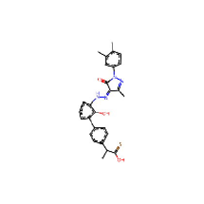 CC1=NN(c2ccc(C)c(C)c2)C(=O)C1=NNc1cccc(-c2ccc(C(C)C(O)=S)cc2)c1O